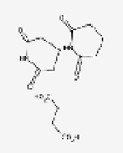 O=C(O)CCC(=O)O.O=C1CCCC(=O)N1.O=C1CCCC(=O)N1